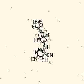 Cc1c(Cl)nnc(NC2C[C@@H]3CN(C(=O)OC(C)(C)C)C[C@@H]3C2)c1C#N